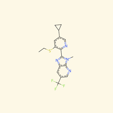 CCSc1cc(C2CC2)cnc1-c1nc2cc(C(F)(F)F)cnc2n1C